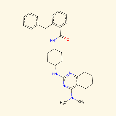 CN(C)c1nc(N[C@H]2CC[C@@H](NC(=O)c3ccccc3Cc3ccccc3)CC2)nc2c1CCCC2